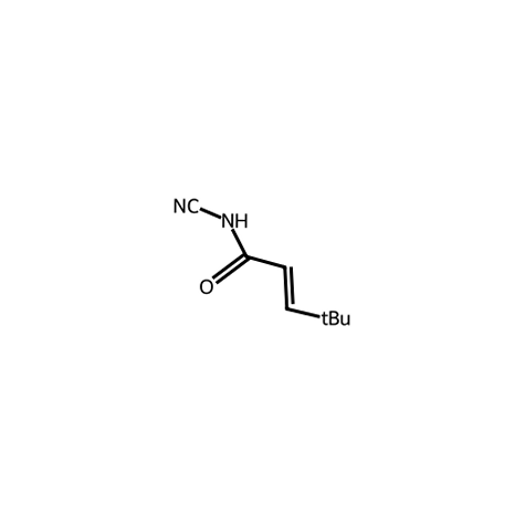 CC(C)(C)C=CC(=O)NC#N